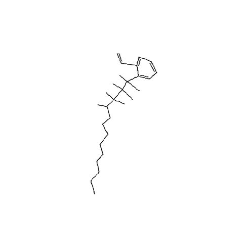 C=Cc1ccccc1C(C)(C)C(C)(C)C(C)(C)C(C)CCCCCCCCC